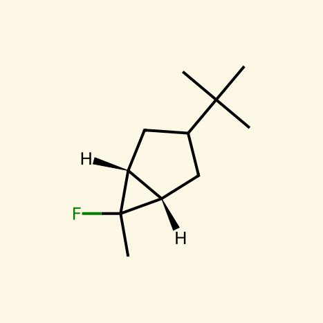 CC(C)(C)C1C[C@@H]2[C@H](C1)C2(C)F